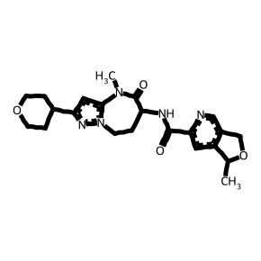 CC1OCc2cnc(C(=O)NC3CCn4nc(C5CCOCC5)cc4N(C)C3=O)cc21